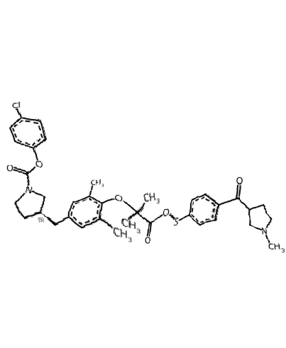 Cc1cc(C[C@H]2CCN(C(=O)Oc3ccc(Cl)cc3)C2)cc(C)c1OC(C)(C)C(=O)OSc1ccc(C(=O)C2CCN(C)C2)cc1